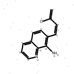 C=C(Cl)/C=C\c1ccc2cccnc2c1N